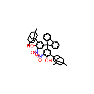 CC12CC3CC(C)(C1)CC(c1cc(C4(c5cc([N+](=O)[O-])c(O)c(C67CC8CC(C)(CC(C)(C8)C6)C7)c5)c5ccccc5-c5ccccc54)cc([N+](=O)[O-])c1O)(C3)C2